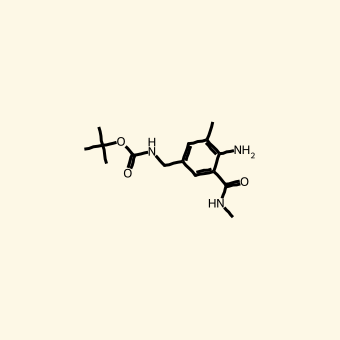 CNC(=O)c1cc(CNC(=O)OC(C)(C)C)cc(C)c1N